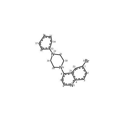 Brc1ccc2nccc(N3CCN(c4ccccc4)CC3)c2c1